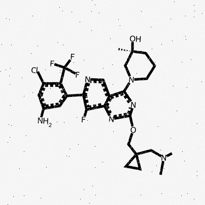 CN(C)CC1(COc2nc(N3CCC[C@](C)(O)C3)c3cnc(-c4cc(N)cc(Cl)c4C(F)(F)F)c(F)c3n2)CC1